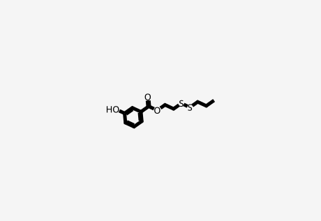 CCCSSCCOC(=O)c1cccc(O)c1